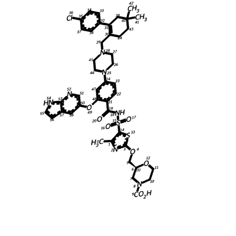 Cc1nc(OC[C@@H]2CN(C(=O)O)CCO2)sc1S(=O)(=O)NC(=O)c1ccc(N2CCN(CC3=C(c4ccc(Cl)cc4)CC(C)(C)CC3)CC2)cc1Oc1cnc2[nH]ccc2c1